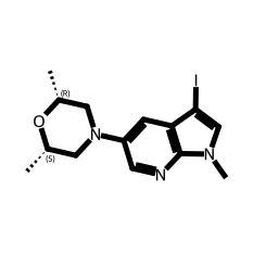 C[C@@H]1CN(c2cnc3c(c2)c(I)cn3C)C[C@H](C)O1